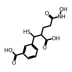 O=C(CCC(C(=O)O)C(S)c1cccc(C(=O)O)c1)NO